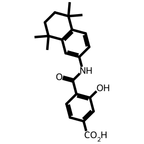 CC1(C)CCC(C)(C)c2cc(NC(=O)c3ccc(C(=O)O)cc3O)ccc21